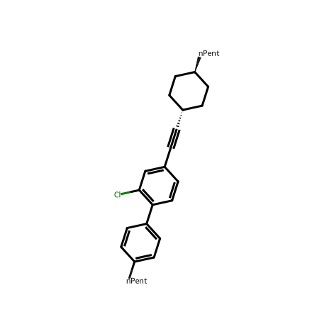 CCCCCc1ccc(-c2ccc(C#C[C@H]3CC[C@H](CCCCC)CC3)cc2Cl)cc1